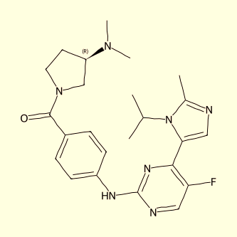 Cc1ncc(-c2nc(Nc3ccc(C(=O)N4CC[C@@H](N(C)C)C4)cc3)ncc2F)n1C(C)C